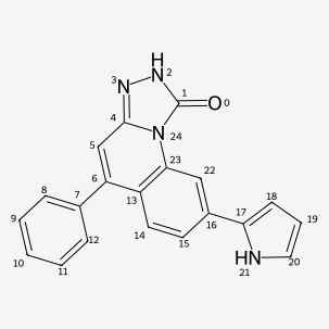 O=c1[nH]nc2cc(-c3ccccc3)c3ccc(-c4ccc[nH]4)cc3n12